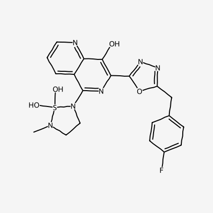 CN1CCN(c2nc(-c3nnc(Cc4ccc(F)cc4)o3)c(O)c3ncccc23)S1(O)O